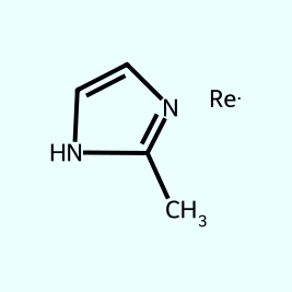 Cc1ncc[nH]1.[Re]